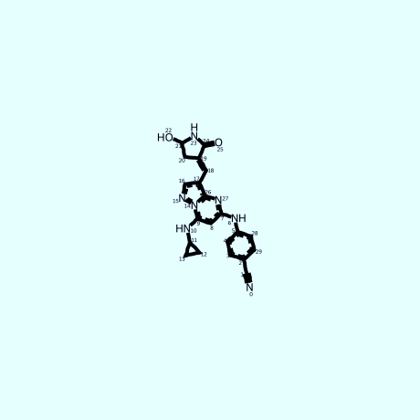 N#Cc1ccc(Nc2cc(NC3CC3)n3ncc(/C=C4\CC(O)NC4=O)c3n2)cc1